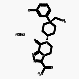 Cl.Cl.NC[C@]1(c2cccc(Cl)c2)CC[C@@H](N2CCn3c(C(N)=O)nnc3C2=O)CC1